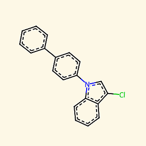 Clc1cn(-c2ccc(-c3ccccc3)cc2)c2ccccc12